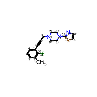 Cc1cccc(C#CCN2CCN(c3nccs3)CC2)c1F